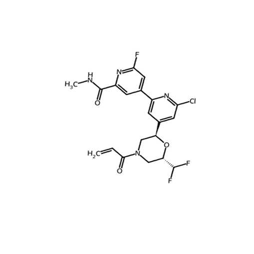 C=CC(=O)N1C[C@@H](c2cc(Cl)nc(-c3cc(F)nc(C(=O)NC)c3)c2)O[C@H](C(F)F)C1